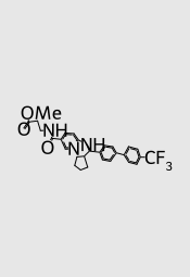 COC(=O)CCNC(=O)c1ccc(NC(c2ccc(-c3ccc(C(F)(F)F)cc3)cc2)C2CCCC2)nc1